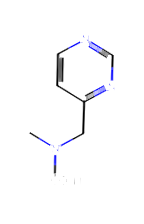 CN(Cc1ccncn1)C(=O)O